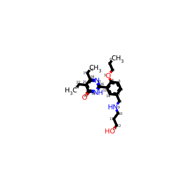 CCCOc1ccc(CNCCCO)cc1-c1nc(CC)c(CC)c(=O)[nH]1